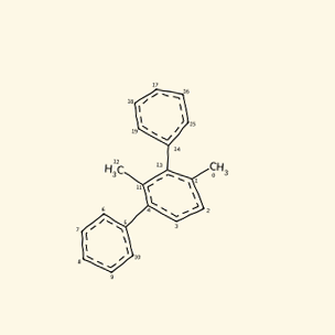 Cc1ccc(-c2ccccc2)c(C)c1-c1ccccc1